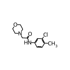 Cc1ccc(NC(=O)CN2CCOCC2)cc1Cl